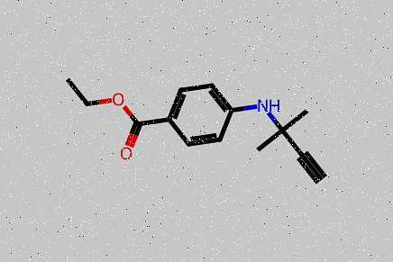 C#CC(C)(C)Nc1ccc(C(=O)OCC)cc1